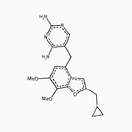 COc1cc(Cc2cnc(N)nc2N)c2cc(CC3CC3)oc2c1OC